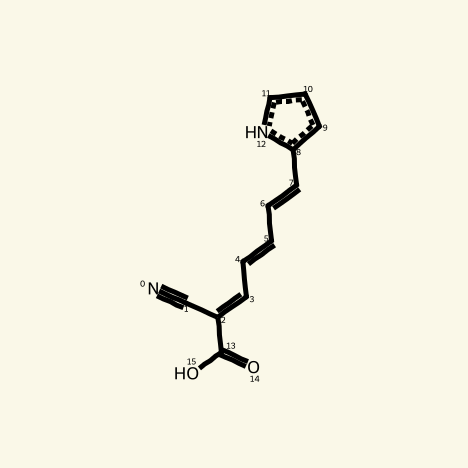 N#C\C(=C/C=C/C=C/c1ccc[nH]1)C(=O)O